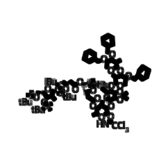 CC[C@H](C)[C@H](C[C@@H](CC(=O)O[C@H]1C(C)O[C@H](OC(=N)C(Cl)(Cl)Cl)C(O[C@@H]2OC(C)[C@H](O[C@@H]3OC[C@@H](OCc4ccccc4)C(O[C@@H]4OC[C@@H](OCc5ccccc5)C(OCc5ccccc5)C4C)C3C)C3OC(C)(C)OC32)C1C)O[Si](C)(C)C(C)(C)C)OC(=O)C[C@H](C[C@H](O[C@@H]1O[C@H](CO[Si](C)(C)C(C)(C)C)C(O[Si](C)(C)C(C)(C)C)C1C)[C@@H](C)CC)O[Si](C)(C)C(C)(C)C